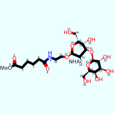 COC(=O)CCCCC(=O)NCCO[C@H]1O[C@H](CO)[C@H](O)[C@H](O[C@@H]2O[C@H](CO)[C@H](O)[C@H](O)[C@H]2O)[C@@H]1NC(C)=O